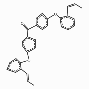 CC=Cc1ccccc1Oc1ccc(C(=O)c2ccc(Oc3ccccc3/C=C\C)cc2)cc1